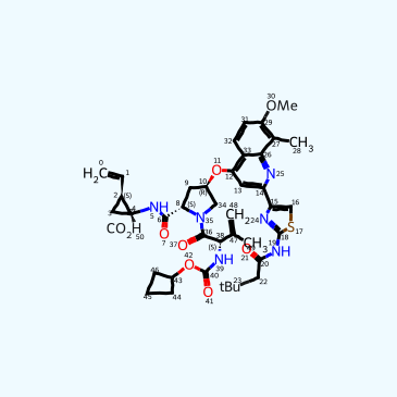 C=C[C@@H]1C[C@]1(NC(=O)[C@@H]1C[C@@H](Oc2cc(-c3csc(NC(=O)CC(C)(C)C)n3)nc3c(C)c(OC)ccc23)CN1C(=O)[C@@H](NC(=O)OC1CCC1)C(=C)C)C(=O)O